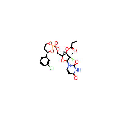 CCC(=O)O[C@@H]1C(CO[P@@]2(=O)OCCC(c3cccc(Cl)c3)O2)OC(n2ccc(=O)[nH]c2=O)[C@]1(C)F